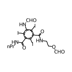 [CH2][CH]CNC(=O)c1c(I)c(NC=O)c(I)c(C(=O)NCCOC=O)c1I